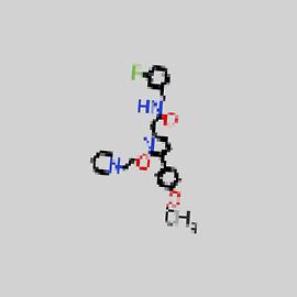 CCOc1ccc(-c2ccc(CC(=O)NCc3cccc(F)c3)nc2OCCN2CCCCC2)cc1